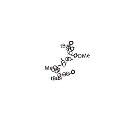 C=C1C[C@H](C[C@@H]2CC(=C)C[C@H](C=CC(C)(C)[C@]3(OC)O[C@H](C[C@@H](O[Si](C)(C)C(C)(C)C)[C@@H](C)OCOCc4ccccc4)CCC3=O)O2)O[C@H](C[C@H](CCO[Si](c2ccccc2)(c2ccccc2)C(C)(C)C)OCc2ccc(OC)cc2)C1